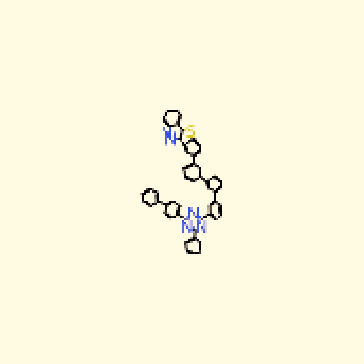 c1ccc(-c2ccc(-c3nc(-c4ccccc4)nc(-c4cccc(-c5cccc(-c6cccc(-c7ccc8sc9c%10ccccc%10nnc9c8c7)c6)c5)c4)n3)cc2)cc1